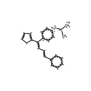 C1=CCC(C(=CC=Cc2ccccc2)c2ccccc2)=C1.CP(C)C.[V]